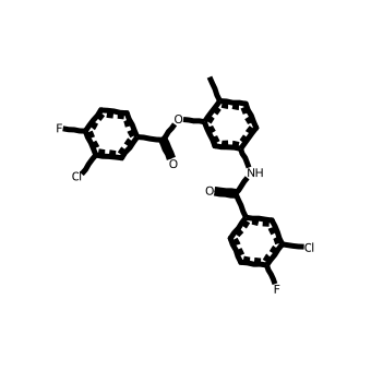 Cc1ccc(NC(=O)c2ccc(F)c(Cl)c2)cc1OC(=O)c1ccc(F)c(Cl)c1